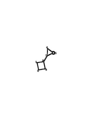 C1CC(C2CO2)C1